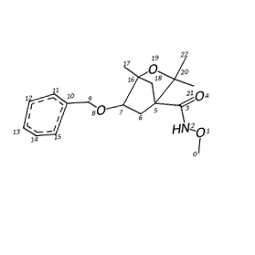 CONC(=O)C12CC(OCc3ccccc3)C(C)(C1)OC2(C)C